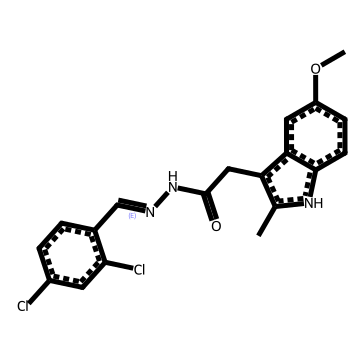 COc1ccc2[nH]c(C)c(CC(=O)N/N=C/c3ccc(Cl)cc3Cl)c2c1